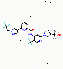 CC(C)(O)[C@@H]1CCN(c2cc(NC(=O)c3cccc(-c4cnn(CC(F)(F)F)c4)n3)c(C(F)(F)F)cn2)C1